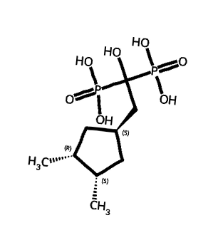 C[C@@H]1C[C@@H](CC(O)(P(=O)(O)O)P(=O)(O)O)C[C@@H]1C